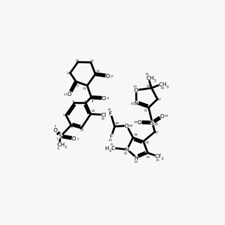 CS(=O)(=O)c1ccc(C(=O)C2C(=O)CCCC2=O)c(Cl)c1.Cn1nc(C(F)(F)F)c(CS(=O)(=O)C2=NOC(C)(C)C2)c1OC(F)F